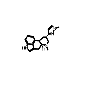 CN1C[C@H](c2ccn(C)n2)CC2c3cccc4[nH]cc(c34)C[C@H]21